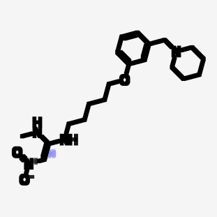 CN/C(=C\[N+](=O)[O-])NCCCCCOc1cccc(CN2CCCCC2)c1